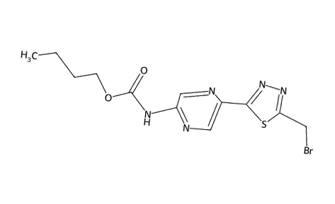 CCCCOC(=O)Nc1cnc(-c2nnc(CBr)s2)cn1